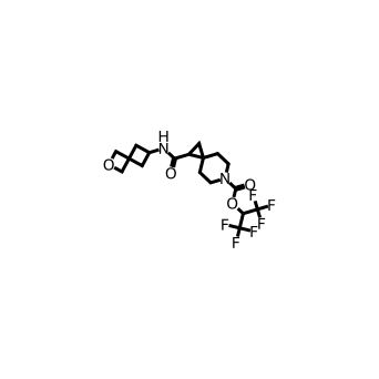 O=C(NC1CC2(COC2)C1)C1CC12CCN(C(=O)OC(C(F)(F)F)C(F)(F)F)CC2